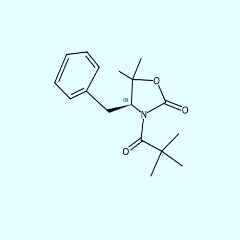 CC(C)(C)C(=O)N1C(=O)OC(C)(C)[C@@H]1Cc1ccccc1